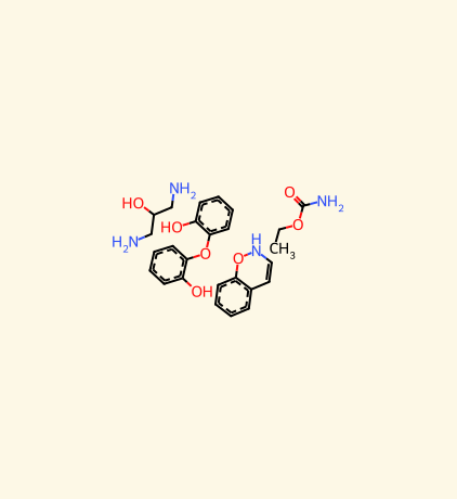 C1=Cc2ccccc2ON1.CCOC(N)=O.NCC(O)CN.Oc1ccccc1Oc1ccccc1O